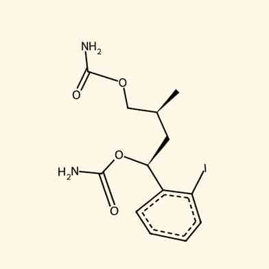 C[C@H](COC(N)=O)C[C@H](OC(N)=O)c1ccccc1I